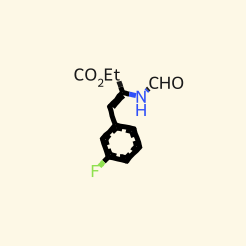 CCOC(=O)C(=Cc1cccc(F)c1)NC=O